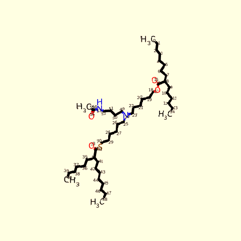 CCCCCCCCC(CCCCCC)C(=O)OCCCCCCN(CCCCCCSC(=O)C(CCCCCC)CCCCCCCC)CCCCNC(C)=O